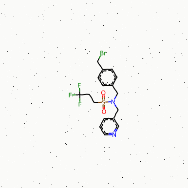 O=S(=O)(CCC(F)(F)F)N(Cc1ccc(CBr)cc1)Cc1cccnc1